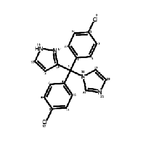 Clc1ccc(C(c2ccc(Cl)cc2)(c2cc[nH]n2)n2ccnc2)cc1